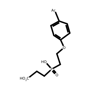 CC(=O)c1ccc(OCCP(=O)(O)CCC(=O)O)cc1